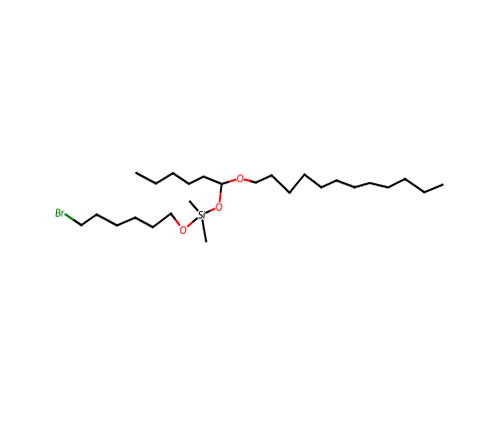 CCCCCCCCCCCCOC(CCCCC)O[Si](C)(C)OCCCCCCBr